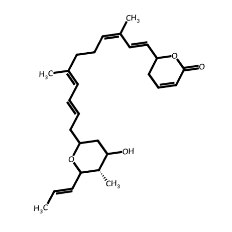 C/C=C/C1OC(C/C=C/C=C(\C)CC/C=C(C)\C=C\C2CC=CC(=O)O2)CC(O)[C@@H]1C